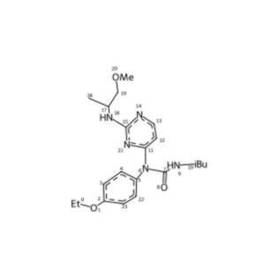 CCOc1ccc(N(C(=O)NC(C)CC)c2ccnc(NC(C)COC)n2)cc1